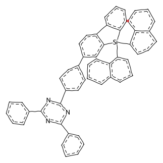 c1ccc(-c2nc(-c3ccccc3)nc(-c3ccc(-c4ccc5c(c4)[Si](c4cccc6ccccc46)(c4cccc6ccccc46)c4ccccc4-5)cc3)n2)cc1